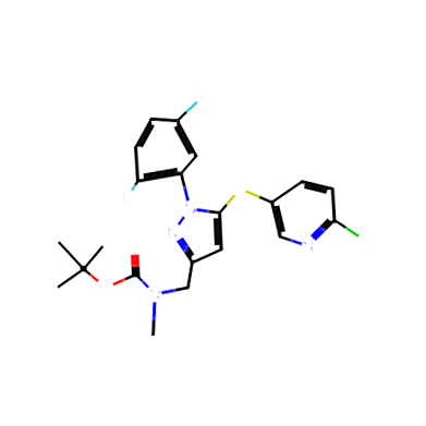 CN(Cc1cc(Sc2ccc(Cl)nc2)n(-c2cc(F)ccc2F)n1)C(=O)OC(C)(C)C